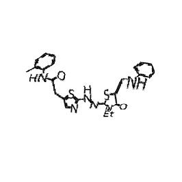 CCN1C(=O)C(=CNc2ccccc2)SC1=NNc1ncc(CC(=O)Nc2ccccc2C)s1